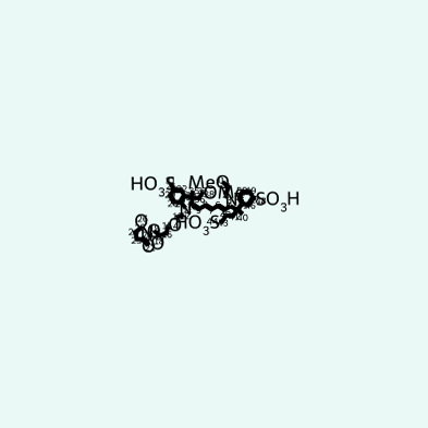 COCC[N+]1=C(/C=C/C=C/C=C2/N(CCOCCC(=O)ON3C(=O)CCC3=O)c3ccc(S(=O)(=O)O)cc3C2(C)CCOC)C(C)(CCCS(=O)(=O)O)c2cc(S(=O)(=O)O)ccc21